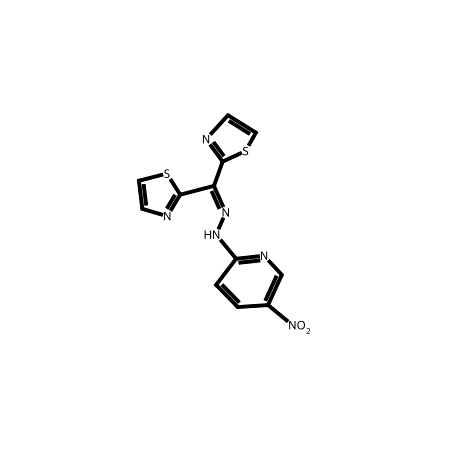 O=[N+]([O-])c1ccc(NN=C(c2nccs2)c2nccs2)nc1